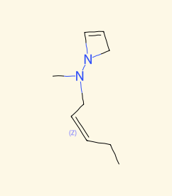 CC/C=C\CN(C)N1C=CC1